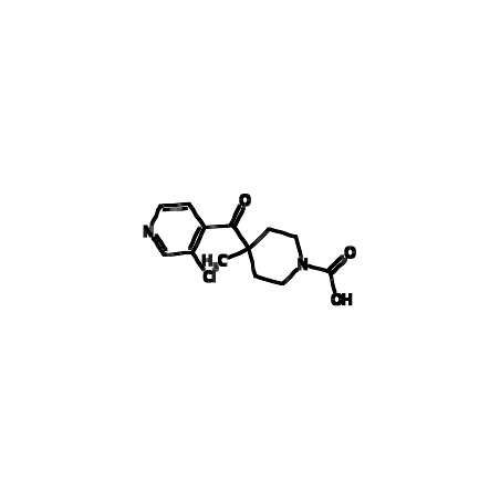 CC1(C(=O)c2ccncc2Cl)CCN(C(=O)O)CC1